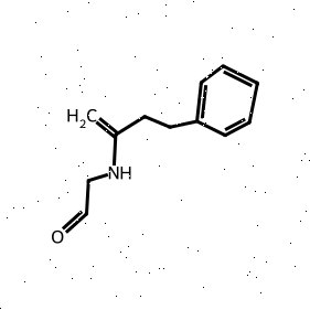 C=C(CCc1ccccc1)NCC=O